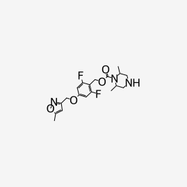 Cc1cc(COc2cc(F)c(COC(=O)N3C(C)CNCC3C)c(F)c2)no1